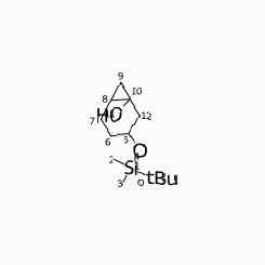 CC(C)(C)[Si](C)(C)OC1CCC2CC2(O)C1